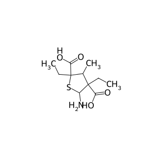 CCC1(C(=O)O)SC(N)C(CC)(C(=O)O)C1C